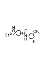 CCSCC1(O)CCN(C(=O)Nc2cc(F)cc(C(F)(F)F)c2)CC1